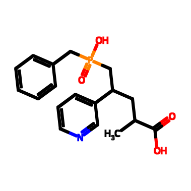 CC(CC(CP(=O)(O)Cc1ccccc1)c1cccnc1)C(=O)O